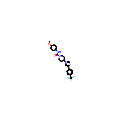 COC1CCC(NC(=O)N2CCC(n3cnc(-c4ccc(C(F)(F)F)cc4)c3)CC2)CC1